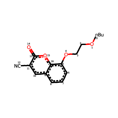 CCCCOCCOc1cccc2cc(C#N)c(=O)oc12